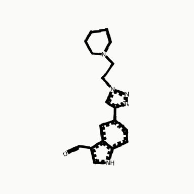 O=Cc1c[nH]c2ccc(-c3cn(CCN4CCCCC4)nn3)cc12